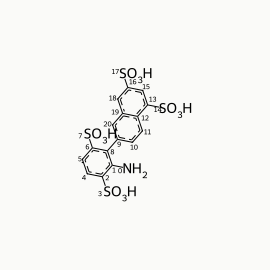 Nc1c(S(=O)(=O)O)c[c]c(S(=O)(=O)O)c1-c1ccc2c(S(=O)(=O)O)cc(S(=O)(=O)O)cc2c1